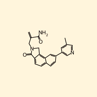 C=C(CN1Cc2c(ccc3ccc(-c4cncc(C)c4)cc23)C1=O)C(N)=O